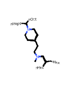 CCCCCCCCC(CCCCCCC)N1CCC(CCN(C)CC(CCCCCC)CCCCCC)CC1